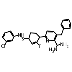 NC(N)c1nc(C2CCC(SNc3cccc(Cl)c3)C=C2F)ccc1Cc1ccccc1